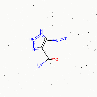 [N-]=[N+]=c1[nH][nH]nc1C(N)=O